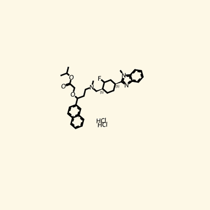 CC(C)OC(=O)COC(CCN(C)C[C@@H]1CC[C@H](c2nc3ccccc3n2C)CC1F)c1ccc2ccccc2c1.Cl.Cl